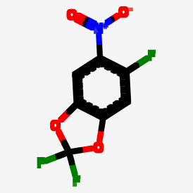 O=[N+]([O-])c1cc2c(cc1F)OC(F)(F)O2